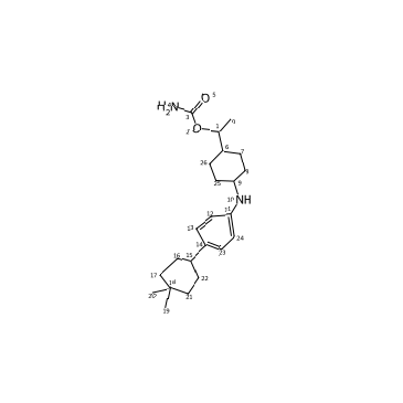 CC(OC(N)=O)C1CCC(Nc2ccc(C3CCC(C)(C)CC3)cc2)CC1